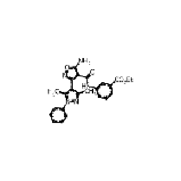 CCOC(=O)c1cccc(NC(=O)c2c(-c3c(C)nn(-c4ccccc4)c3C)noc2N)c1